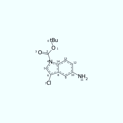 CC(C)(C)OC(=O)n1cc(Cl)c2cc(N)ccc21